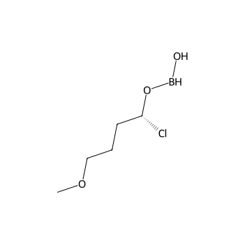 COCCC[C@@H](Cl)OBO